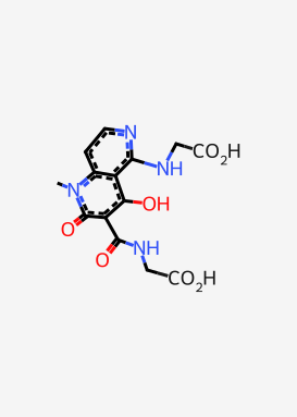 Cn1c(=O)c(C(=O)NCC(=O)O)c(O)c2c(NCC(=O)O)nccc21